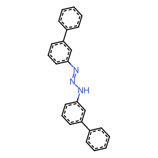 c1ccc(-c2cccc(/N=N/Nc3cccc(-c4ccccc4)c3)c2)cc1